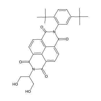 CC(C)(C)c1ccc(C(C)(C)C)c(N2C(=O)c3ccc4c5c(ccc(c35)C2=O)C(=O)N(C(CO)CO)C4=O)c1